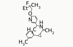 C=C(NC(C)c1ccc(OCC(C)(F)CC)nc1)C1CC1c1cccc(C)c1